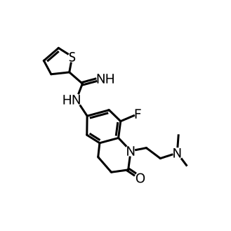 CN(C)CCN1C(=O)CCc2cc(NC(=N)C3CC=CS3)cc(F)c21